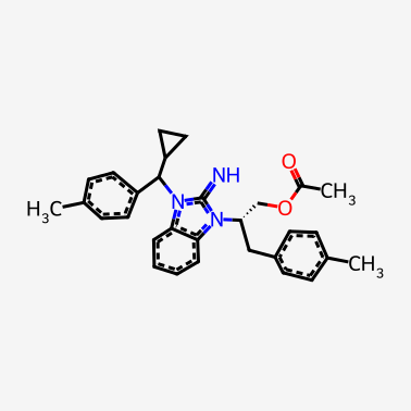 CC(=O)OC[C@H](Cc1ccc(C)cc1)n1c(=N)n(C(c2ccc(C)cc2)C2CC2)c2ccccc21